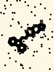 O=C(N[C@H](Cc1c[nH]cn1)C(=O)O)OCC1c2ccccc2-c2ccccc21